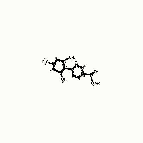 COC(=O)c1ccc(-c2c(C)cc(C(F)(F)F)cc2O)nn1